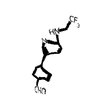 O=Cc1ccc(-c2ccc(NCC(F)(F)F)nc2)cc1